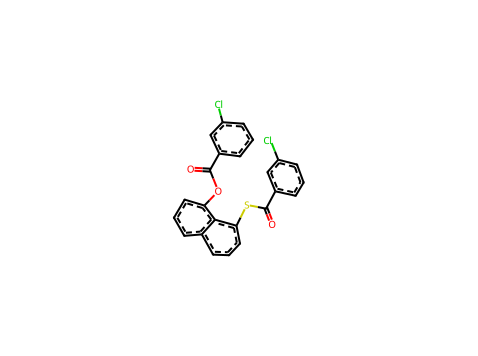 O=C(Oc1cccc2cccc(SC(=O)c3cccc(Cl)c3)c12)c1cccc(Cl)c1